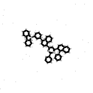 c1ccc(-c2nc(-c3ccc4ccccc4c3-c3ccccc3)cc(-c3ccc(-c4cccc(-n5c6ccccc6c6ccccc65)c4)c4ccccc34)n2)cc1